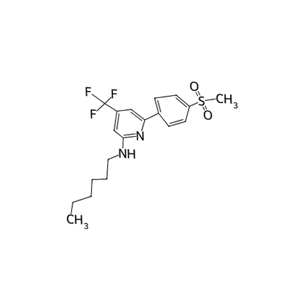 CCCCCCNc1cc(C(F)(F)F)cc(-c2ccc(S(C)(=O)=O)cc2)n1